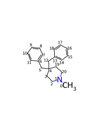 CN1CCC(Cc2ccccc2)(Cc2ccccc2)CC1